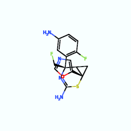 NC1=N[C@](CF)(c2cc(N)ccc2F)C2C[C@]2(c2cnco2)S1